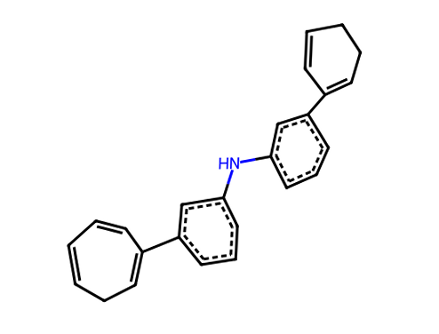 C1=CCC=C(c2cccc(Nc3cccc(C4=CCCC=C4)c3)c2)C=C1